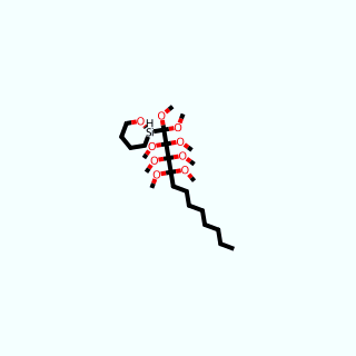 CCCCCCCCC(OC)(OC)C(OC)(OC)C(OC)(OC)C(OC)(OC)[SiH]1CCCCO1